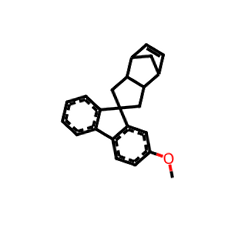 COc1ccc2c(c1)C1(CC3C4C=CC(C4)C3C1)c1ccccc1-2